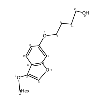 CCCCCCOc1coc2cc(OCCCCO)ccc12